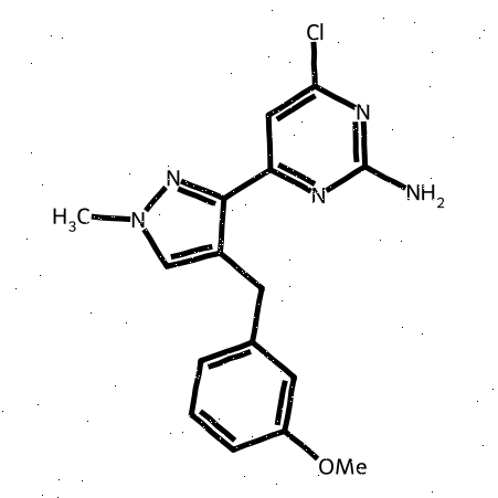 COc1cccc(Cc2cn(C)nc2-c2cc(Cl)nc(N)n2)c1